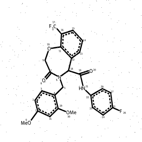 COc1ccc(CN2C(=O)COc3c(cccc3C(F)(F)F)C2C(=O)Nc2ccc(F)cc2)c(OC)c1